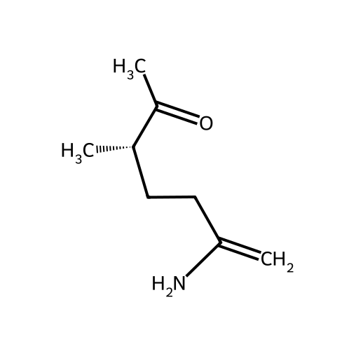 C=C(N)CC[C@H](C)C(C)=O